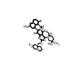 C#Cc1c(F)ccc2cc(O)cc(-c3nc4c5c(nc(OC[C@@]67CCCN6C[C@H](F)C7)nc5c3F)N3C[C@@](C)(O)CC[C@H]3CO4)c12